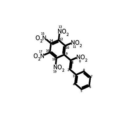 O=[N+]([O-])C(=Cc1ccccc1)c1c([N+](=O)[O-])c([N+](=O)[O-])c([N+](=O)[O-])c([N+](=O)[O-])c1[N+](=O)[O-]